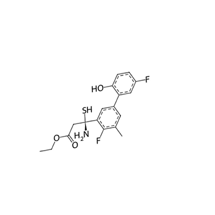 CCOC(=O)C[C@](N)(S)c1cc(-c2cc(F)ccc2O)cc(C)c1F